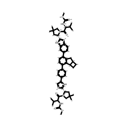 COC(=O)NC(C(=O)N1CC(C)(C)C[C@H]1c1ncc(-c2ccc(-c3ccc(-c4ccc5nc([C@@H]6CC(C)(C)CN6C(=O)[C@@H](NC(=O)OC)C(C)C)[nH]c5c4)c4c3C3CCC3C4)cc2)[nH]1)C(C)C